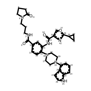 O=C(NCCCN1CCCC1=O)c1ccc(N2CCN(c3cccc4[nH]ccc34)CC2)c(NC(=O)c2coc(C3CC3)n2)c1